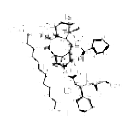 CC(=O)O[C@@]12CO[C@@H]1C[C@H](O)[C@@]1(C)C(=O)[C@H](O)C3=C(C)[C@@H](OC(=O)[C@H](O)[C@@H](NC(=O)OC(C)(C)C)c4ccccc4)C[C@@](O)([C@@H](OC(=O)c4ccccc4)[C@H]21)C3(C)C.CCCCCCCCCCCCCCCCCCCCCCO